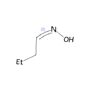 CCC/C=N\O